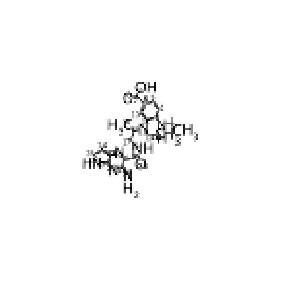 CCNc1ccc(C(=O)O)cc1N(CC)C(C)CNC(=O)c1nc2cc[nH]c2nc1N